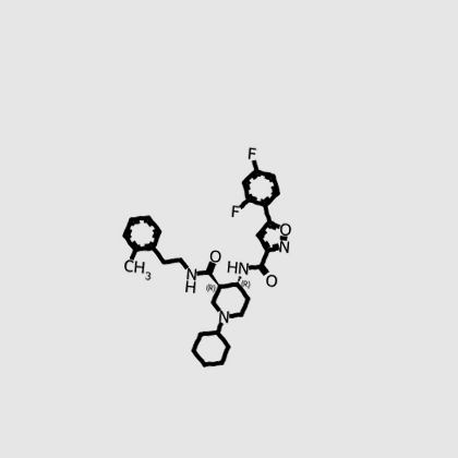 Cc1ccccc1CCNC(=O)[C@@H]1CN(C2CCCCC2)CC[C@H]1NC(=O)c1cc(-c2ccc(F)cc2F)on1